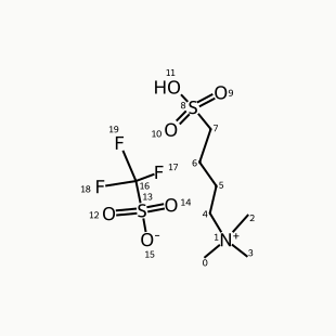 C[N+](C)(C)CCCCS(=O)(=O)O.O=S(=O)([O-])C(F)(F)F